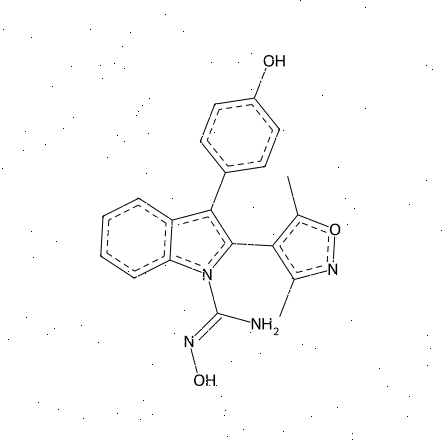 Cc1noc(C)c1-c1c(-c2ccc(O)cc2)c2ccccc2n1/C(N)=N/O